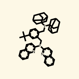 CC(C)(C)c1ccc(CP(C23CC4CC(CC(C4)C2)C3)C23CC4CC(CC(C4)C2)C3)c(CP(c2ccc3ccccc3n2)c2ccc3ccccc3n2)c1